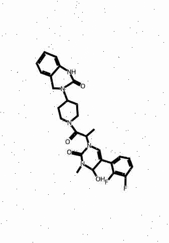 CC(C(=O)N1CCC(N2Cc3ccccc3NC2=O)CC1)N1C=C(c2cccc(F)c2F)C(O)N(C)C1=O